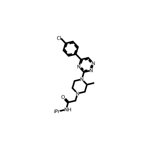 CC(C)NC(=O)CN1CCN(c2nncc(-c3ccc(Cl)cc3)n2)C(C)C1